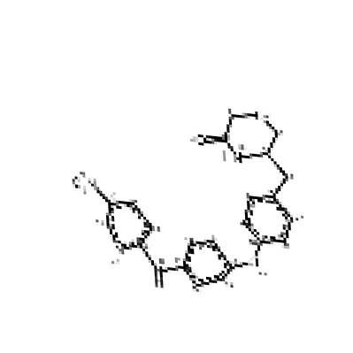 O=C1COCC(Cc2ccc(Oc3ccc(Nc4ccc([N+](=O)[O-])cn4)cc3)cc2)N1